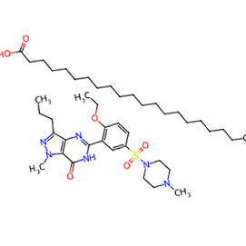 CCCCCCCCCCCCCCCCCCCCC(=O)O.CCCc1nn(C)c2c(=O)[nH]c(-c3cc(S(=O)(=O)N4CCN(C)CC4)ccc3OCC)nc12